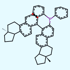 C[C@@]12CCCC1c1ccc3c(-c4c(P(c5ccccc5)c5ccccc5)ccc5c6c(ccc45)C4CCC[C@@]4(C)CC6)cccc3c1CC2